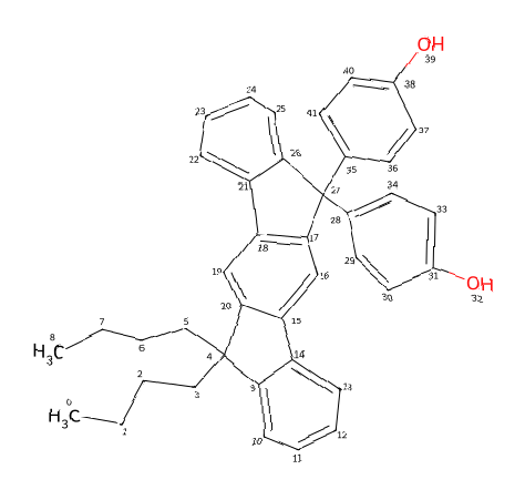 CCCCC1(CCCC)c2ccccc2-c2cc3c(cc21)-c1ccccc1C3(c1ccc(O)cc1)c1ccc(O)cc1